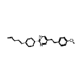 CCCCC[C@H]1CC[C@H](c2ncc(CCc3ccc(OC)cc3)cn2)CC1